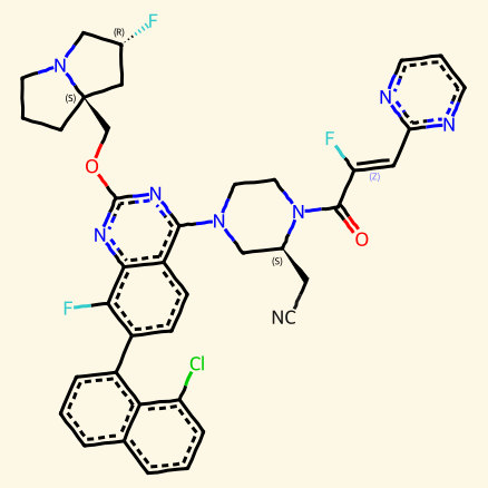 N#CC[C@H]1CN(c2nc(OC[C@@]34CCCN3C[C@H](F)C4)nc3c(F)c(-c4cccc5cccc(Cl)c45)ccc23)CCN1C(=O)/C(F)=C/c1ncccn1